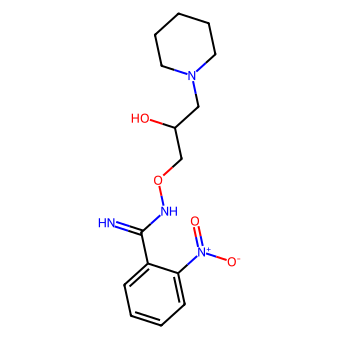 N=C(NOCC(O)CN1CCCCC1)c1ccccc1[N+](=O)[O-]